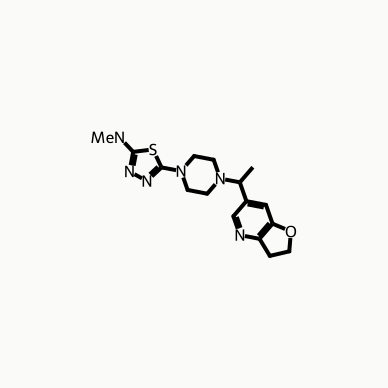 CNc1nnc(N2CCN(C(C)c3cnc4c(c3)OCC4)CC2)s1